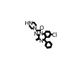 C=C1N=C(c2ccccc2)c2cc(Cl)ccc2N2C(=O)C(N3CCNCC3)N=C12